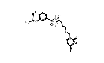 C#C[C@@H](C)Oc1cccc([C@@H](C)NS(=O)(=O)CCCOCn2ccc(=O)[nH]c2=O)c1